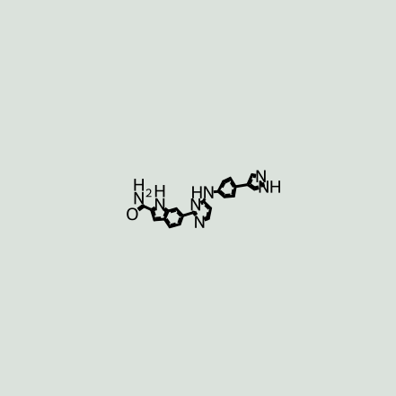 NC(=O)c1cc2ccc(-c3nccc(Nc4ccc(-c5cn[nH]c5)cc4)n3)cc2[nH]1